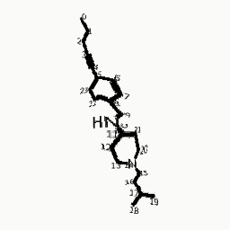 CCCC#Cc1ccc(CNC2CCN(CCC(C)C)CC2)cc1